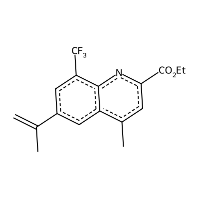 C=C(C)c1cc(C(F)(F)F)c2nc(C(=O)OCC)cc(C)c2c1